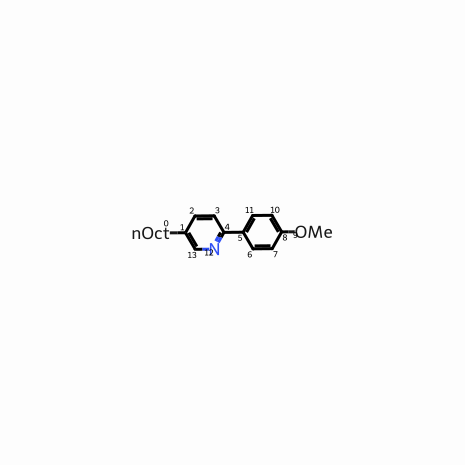 CCCCCCCCc1ccc(-c2ccc(OC)cc2)nc1